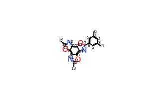 Cc1cc(C)cc(-c2nc3c4oc(C)nc4c4oc(C)nc4c3o2)c1